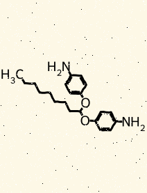 CCCCCCCCC(Oc1ccc(N)cc1)Oc1ccc(N)cc1